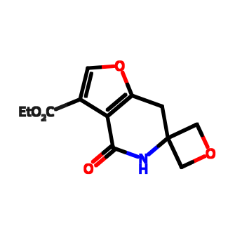 CCOC(=O)c1coc2c1C(=O)NC1(COC1)C2